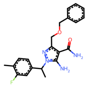 Cc1ccc(C(C)n2nc(COCc3ccccc3)c(C(N)=O)c2N)cc1F